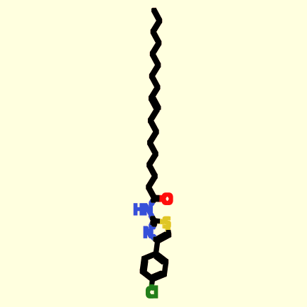 CCCCCCCCC=CCCCCCCCC(=O)Nc1nc(-c2ccc(Cl)cc2)cs1